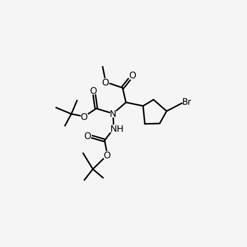 COC(=O)C(C1CCC(Br)C1)N(NC(=O)OC(C)(C)C)C(=O)OC(C)(C)C